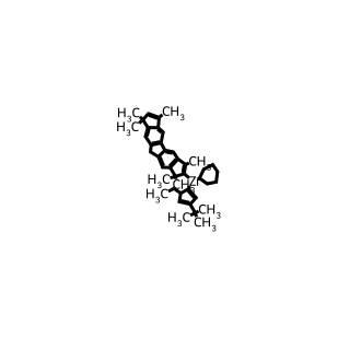 CCC1C=C(C(C)(C)C)C=[C]1[Zr]([C]1=C(C)c2cc3c(cc2C1(C)C)Cc1cc2c(cc1-3)C(C)=CC2(C)C)=[C]1CCCCC1